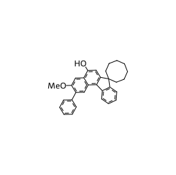 COc1cc2c(O)cc3c(c2cc1-c1ccccc1)-c1ccccc1C31CCCCCCC1